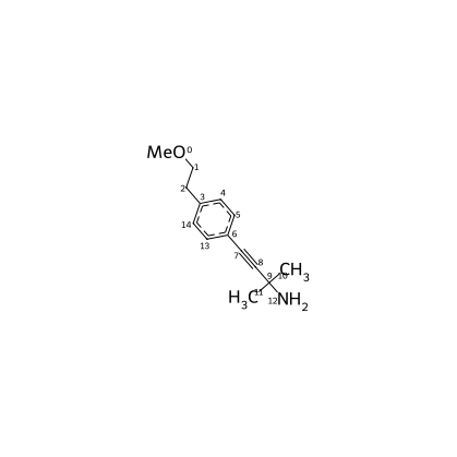 COCCc1ccc(C#CC(C)(C)N)cc1